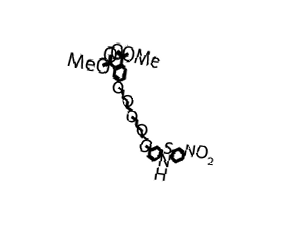 COC(=O)c1ccc(OCCOCCOCCOCCOc2ccc3c(c2)Sc2cc([N+](=O)[O-])ccc2N3)cc1C(=O)OC